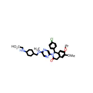 COc1cc2c(cc1OC(C)C)C(c1ccc(Cl)cc1)N(c1cnc(N(C)CC3CCC(NCC(=O)O)CC3)cn1)C(=O)C2